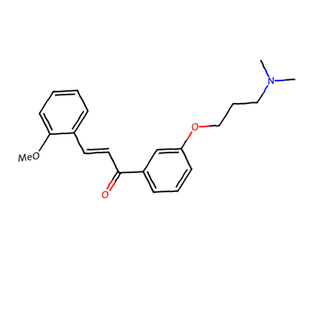 COc1ccccc1C=CC(=O)c1cccc(OCCCN(C)C)c1